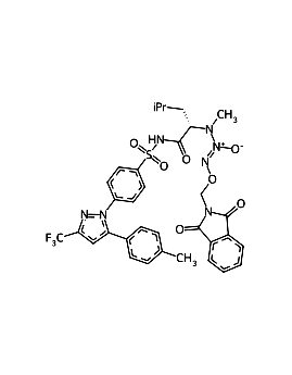 Cc1ccc(-c2cc(C(F)(F)F)nn2-c2ccc(S(=O)(=O)NC(=O)[C@H](CC(C)C)N(C)/[N+]([O-])=N/OCN3C(=O)c4ccccc4C3=O)cc2)cc1